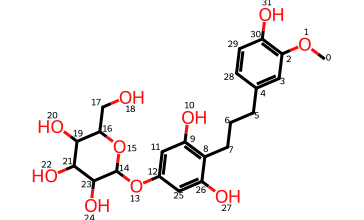 COc1cc(CCCc2c(O)cc(OC3OC(CO)C(O)C(O)C3O)cc2O)ccc1O